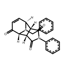 O=C1C=C[C@H]2[C@@H]3C(=O)N(c4ccccc4)C(=O)[C@@H]3[C@H]1N2Cc1ccccc1